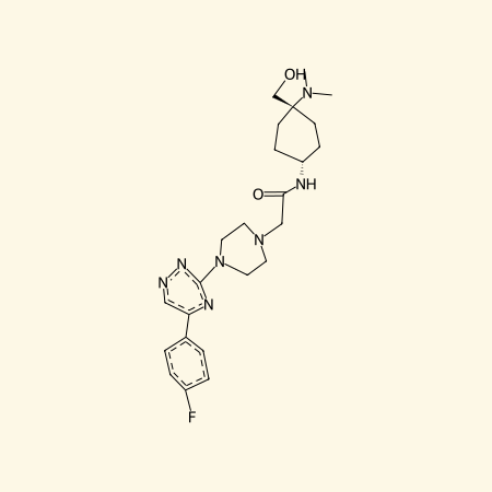 CN(C)[C@]1(CO)CC[C@H](NC(=O)CN2CCN(c3nncc(-c4ccc(F)cc4)n3)CC2)CC1